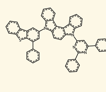 c1ccc(-c2cc(-n3c4ccccc4c4c5c6ccccc6n(-c6cc(-c7ccccc7)c7sc8ccccc8c7c6)c5ccc43)nc(-c3ccccc3)n2)cc1